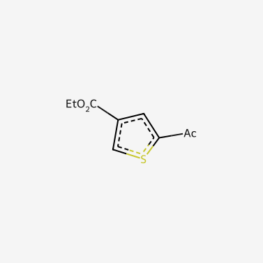 CCOC(=O)c1csc(C(C)=O)c1